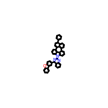 c1ccc(-c2ccc3c4c(cccc24)-c2cccc4c2c2c-3cccc2n4-c2nc(-c3ccc4oc5ccccc5c4c3)c3ccccc3n2)cc1